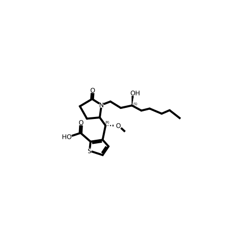 CCCCC[C@H](O)CCN1C(=O)CCC1[C@H](OC)c1ccsc1C(=O)O